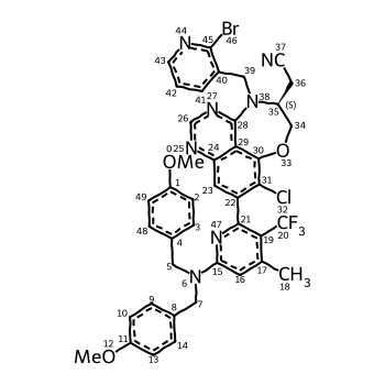 COc1ccc(CN(Cc2ccc(OC)cc2)c2cc(C)c(C(F)(F)F)c(-c3cc4ncnc5c4c(c3Cl)OC[C@H](CC#N)N5Cc3cccnc3Br)n2)cc1